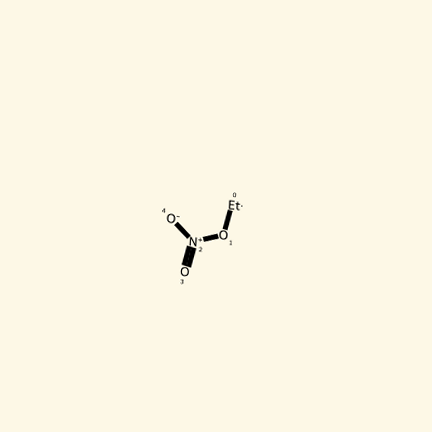 C[CH]O[N+](=O)[O-]